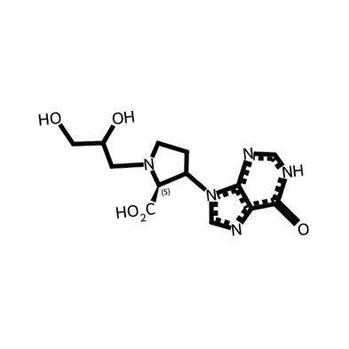 O=C(O)[C@@H]1C(n2cnc3c(=O)[nH]cnc32)CCN1CC(O)CO